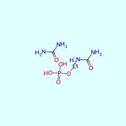 CCOP(=O)(O)O.NC(N)=O.NC(N)=O